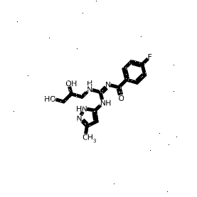 Cc1cc(N/C(=N\C(=O)c2ccc(F)cc2)NCC(O)CO)[nH]n1